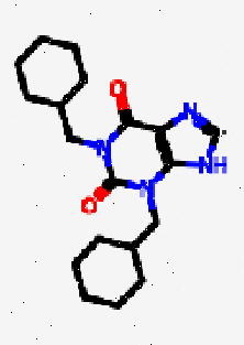 O=c1c2n[c][nH]c2n(CC2CCCCC2)c(=O)n1CC1CCCCC1